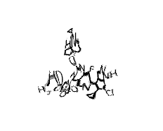 COc1nc(-c2c(C3CC3)c(Cl)cc3[nH]ncc23)c(F)c2nc(OC[C@]34CCC[C@H]3N(C3CC3)CCC4)nc(N3CCOC[C@@](C)(O)C3)c12